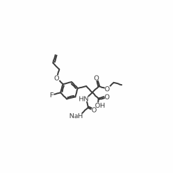 C=CCOc1cc(CC(NC(C)=O)(C(=O)O)C(=O)OCC)ccc1F.[NaH]